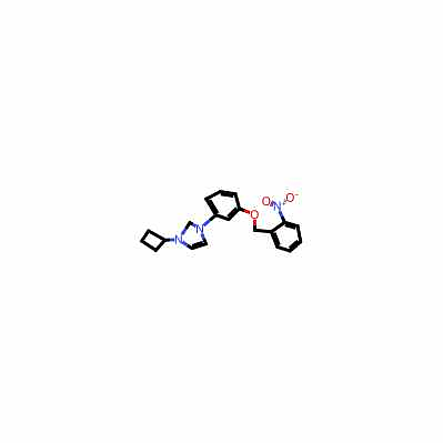 O=[N+]([O-])c1ccccc1COc1cccc(N2C=CN(C3CCC3)C2)c1